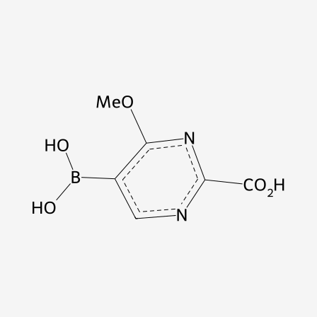 COc1nc(C(=O)O)ncc1B(O)O